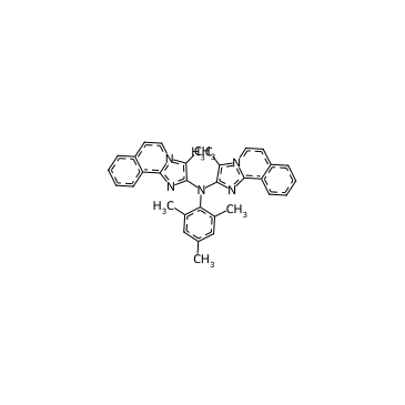 Cc1cc(C)c(N(c2nc3c4ccccc4ccn3c2C)c2nc3c4ccccc4ccn3c2C)c(C)c1